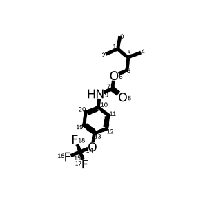 CC(C)C(C)COC(=O)Nc1ccc(OC(F)(F)F)cc1